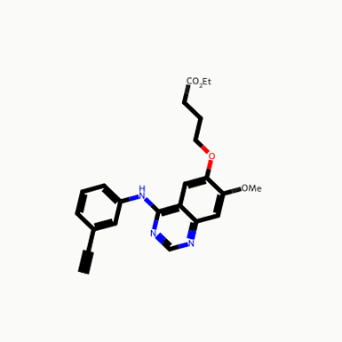 C#Cc1cccc(Nc2ncnc3cc(OC)c(OCCCC(=O)OCC)cc23)c1